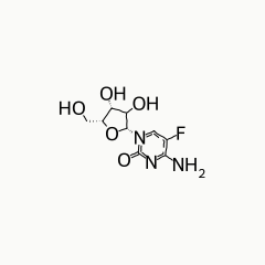 Nc1nc(=O)n([C@@H]2O[C@H](CO)[C@H](O)C2O)cc1F